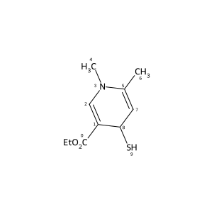 CCOC(=O)C1=CN(C)C(C)=CC1S